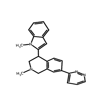 CN1Cc2cc(-c3cccnn3)ccc2C(c2cc3ccccc3n2C)C1